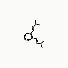 CN(C)N=Cc1ccccc1C=NN(C)C